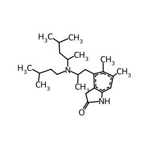 Cc1cc2c(c(CC(C)N(CCC(C)C)C(C)CC(C)C)c1C)CC(=O)N2